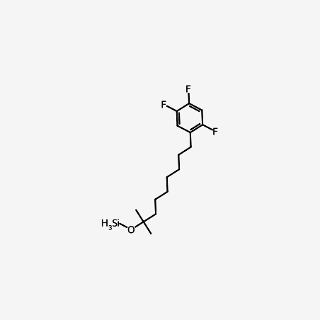 CC(C)(CCCCCCCc1cc(F)c(F)cc1F)O[SiH3]